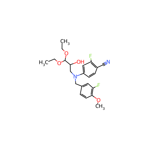 CCOC(OCC)C(O)CN(Cc1ccc(OC)c(F)c1)c1ccc(C#N)c(F)c1